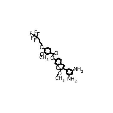 CCOC(=O)C(=Cc1ccc(OC(=O)c2ccc(OCCCC(F)(F)C(F)(F)F)c(OC)c2)cc1)c1cc(N)cc(N)c1